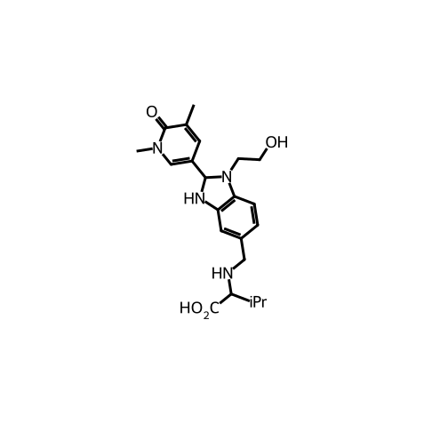 Cc1cc(C2Nc3cc(CNC(C(=O)O)C(C)C)ccc3N2CCO)cn(C)c1=O